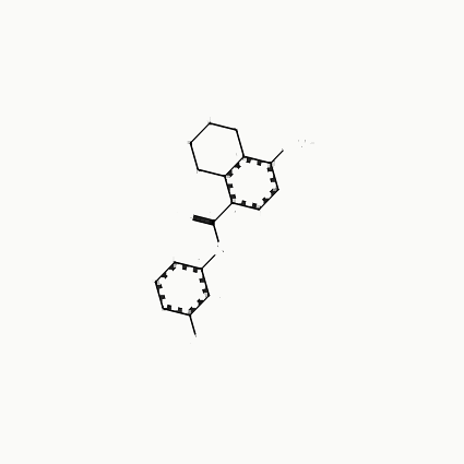 COc1ccc(C(=O)Nc2cccc(F)c2)c2c1CCCC2